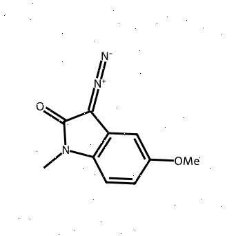 COc1ccc2c(c1)C(=[N+]=[N-])C(=O)N2C